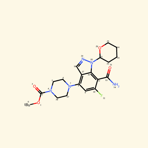 CC(C)(C)OC(=O)N1CCN(c2cc(F)c(C(N)=O)c3c2cnn3C2CCCCO2)CC1